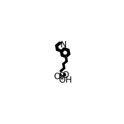 O=S(=O)(O)CCCCc1ccc2ncccc2c1